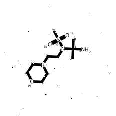 CC(C)(N)N(CCN1CCOCC1)S(C)(=O)=O